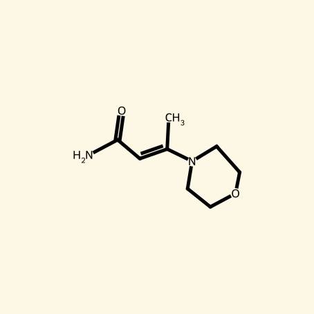 CC(=CC(N)=O)N1CCOCC1